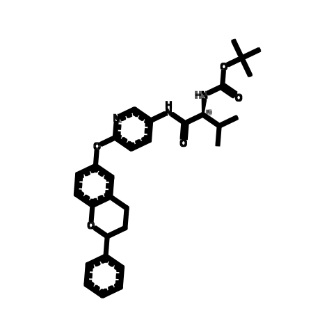 CC(C)[C@H](NC(=O)OC(C)(C)C)C(=O)Nc1ccc(Oc2ccc3c(c2)CCC(c2ccccc2)O3)nc1